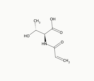 C=CC(=O)N[C@H](C(=O)O)[C@@H](C)O